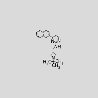 CC(C)(C)N1CC(CNc2nccc(-c3ccc4ccccc4c3)n2)C1